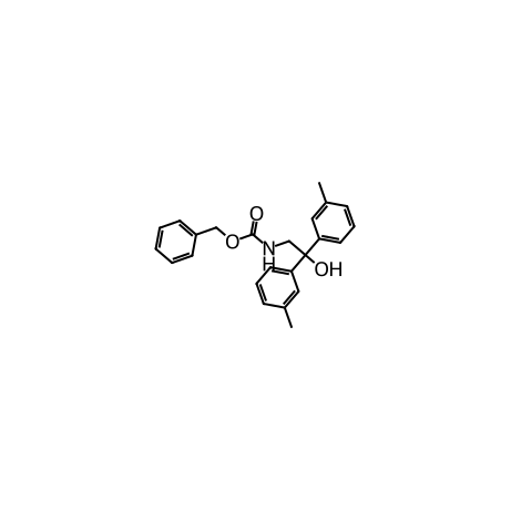 Cc1cccc(C(O)(CNC(=O)OCc2ccccc2)c2cccc(C)c2)c1